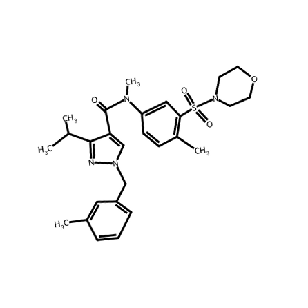 Cc1cccc(Cn2cc(C(=O)N(C)c3ccc(C)c(S(=O)(=O)N4CCOCC4)c3)c(C(C)C)n2)c1